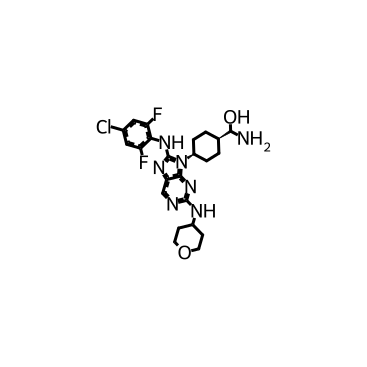 NC(O)[C@H]1CC[C@@H](n2c(Nc3c(F)cc(Cl)cc3F)nc3cnc(NC4CCOCC4)nc32)CC1